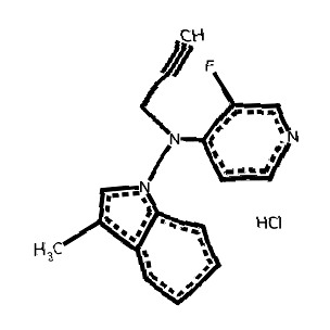 C#CCN(c1ccncc1F)n1cc(C)c2ccccc21.Cl